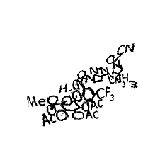 COC(=O)[C@H]1O[C@@H](Oc2ccc(C(F)(F)F)cc2N(C)C(=O)n2ccc3c(N(C)[C@H]4CN(C(=O)CC#N)CC[C@H]4C)ncnc32)[C@H](OC(C)=O)[C@@H](OC(C)=O)[C@@H]1OC(C)=O